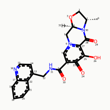 C[C@H]1CO[C@@H]2Cn3cc(C(=O)NCc4ccnc5ccccc45)c(=O)c(O)c3C(=O)N12